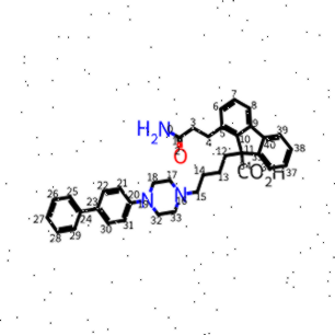 NC(=O)CCc1cccc2c1C(CCCCN1CCN(c3ccc(-c4ccccc4)cc3)CC1)(C(=O)O)c1ccccc1-2